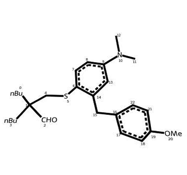 CCCCC(C=O)(CCCC)CSc1ccc(N(C)C)cc1Cc1ccc(OC)cc1